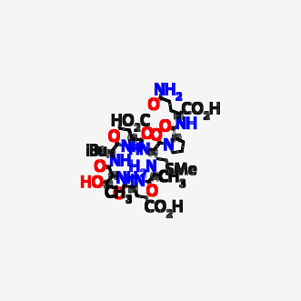 CC[C@H](C)[C@H](NC(=O)[C@@H](NC(=O)[C@H](CCC(=O)O)NC(=O)[C@H](C)N)[C@@H](C)O)C(=O)N[C@@H](CCC(=O)O)C(=O)N[C@@H](CCSC)C(=O)N1CCC[C@H]1C(=O)N[C@@H](CCC(N)=O)C(=O)O